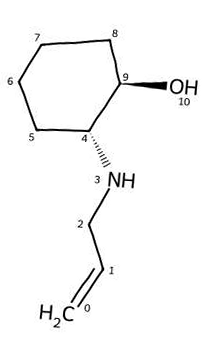 C=CCN[C@@H]1CCCC[C@H]1O